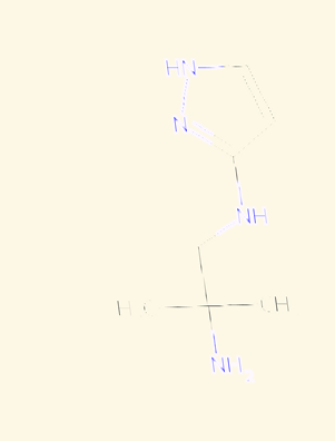 CC(C)(N)CNc1cc[nH]n1